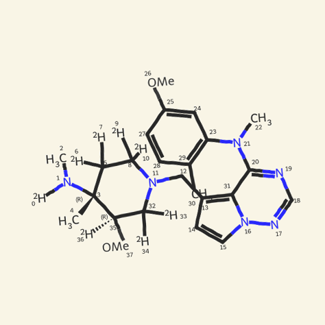 [2H]N(C)[C@]1(C)C([2H])([2H])C([2H])([2H])N(Cc2ccn3ncnc(N(C)c4cc(OC)ccc4C)c23)C([2H])([2H])[C@@]1([2H])OC